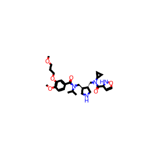 COCCCOc1cc(C(=O)N(C[C@@H]2CNC[C@H]2CN(C(=O)C2C=CON2)C2CC2)C(C)C)ccc1OC